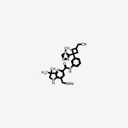 CNCc1cc(C(=O)Nc2cccc(C3(c4nncn4C)CC(CC#N)C3)c2)nc2c1NCC2(C)C